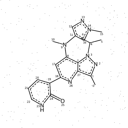 Cc1nn(C(C)C)c2c(N(C)c3cnn(C)c3)cc(-c3ccc[nH]c3=O)nc12